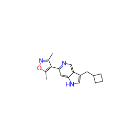 Cc1noc(C)c1-c1cc2[nH]cc(CC3CCC3)c2cn1